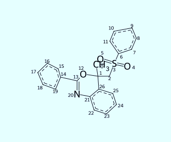 CC1(CS(=O)(=O)c2ccccc2)OC(c2ccccc2)=Nc2ccccc21